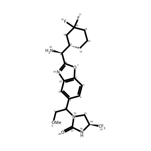 COCC(c1ccc2oc([C@@H](N)[C@H]3CCCC(F)(F)C3)nc2c1)N1C[C@@H](C(F)(F)F)NC1=O